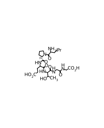 CC(C)CC(N)C(=O)N1CCC[C@H]1C(=O)NC(CCC(=O)O)C(=O)NC(C(=O)NCC(=O)NCC(=O)O)C(C)O